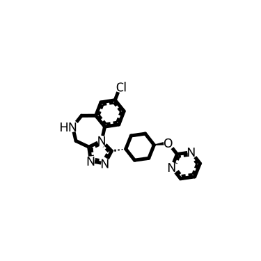 Clc1ccc2c(c1)CNCc1nnc([C@H]3CC[C@H](Oc4ncccn4)CC3)n1-2